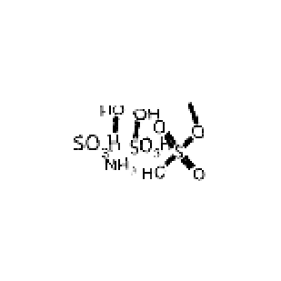 COS(=O)(=O)O.N.O=S(=O)(O)O.O=S(=O)(O)O